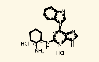 Cl.Cl.N[C@H]1CCCC[C@H]1Nc1nc(-n2cnc3ccccc32)c2nc[nH]c2n1